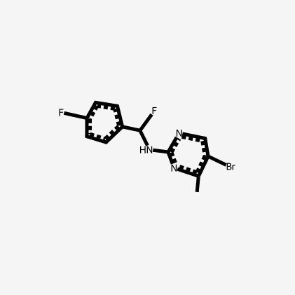 Cc1nc(NC(F)c2ccc(F)cc2)ncc1Br